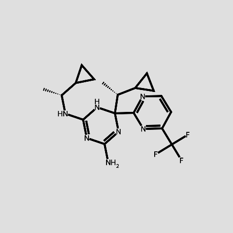 C[C@H](C1CC1)C1(c2nccc(C(F)(F)F)n2)N=C(N)N=C(N[C@H](C)C2CC2)N1